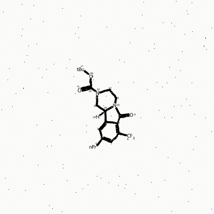 CCCc1cc2c(c(C(F)(F)F)c1)C(=O)N1CCN(C(=O)OC(C)(C)C)C[C@@H]21